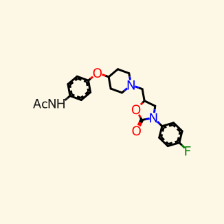 CC(=O)Nc1ccc(OC2CCN(CC3CN(c4ccc(F)cc4)C(=O)O3)CC2)cc1